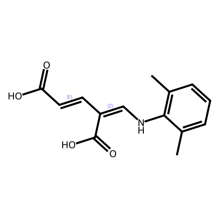 Cc1cccc(C)c1N/C=C(/C=C/C(=O)O)C(=O)O